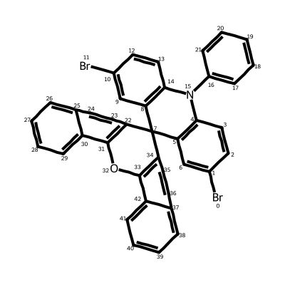 Brc1ccc2c(c1)C1(c3cc(Br)ccc3N2c2ccccc2)c2ccc3ccccc3c2Oc2c1ccc1ccccc21